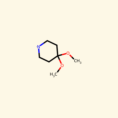 COC1(OC)CC[N]CC1